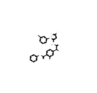 CC(C(=O)N(C)c1cc(C(F)(F)F)nn1-c1cccc(Cl)c1)c1ccc(C(=O)Nc2ccccc2)c(F)c1